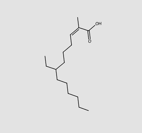 CCCCCCC(CC)CCCC=C(C)C(=O)O